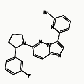 Fc1cccc(C2CCCN2c2ccc3ncc(-c4cccc(Br)n4)n3n2)c1